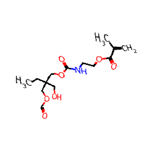 C=C(C)C(=O)OCCNC(=O)OCC(CC)(CO)COC=O